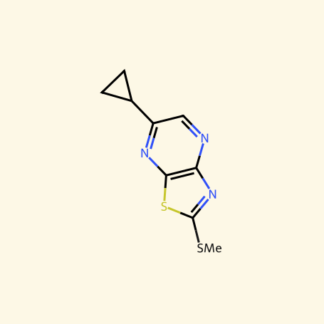 CSc1nc2ncc(C3CC3)nc2s1